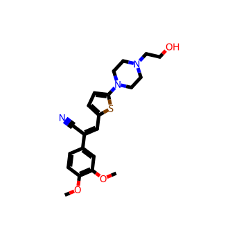 COc1ccc(C(C#N)=Cc2ccc(N3CCN(CCO)CC3)s2)cc1OC